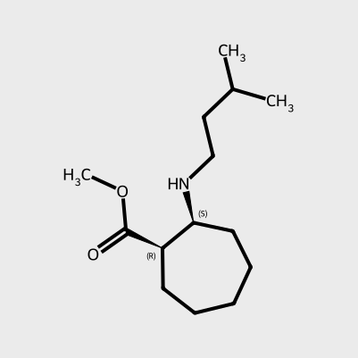 COC(=O)[C@@H]1CCCCC[C@@H]1NCCC(C)C